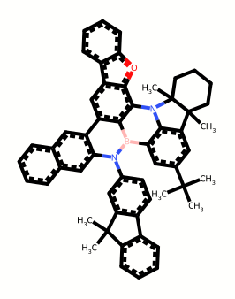 CC(C)(C)c1cc2c3c(c1)C1(C)CCCCC1(C)N3c1c3c(cc4c1oc1ccccc14)-c1cc4ccccc4cc1N(c1ccc4c(c1)C(C)(C)c1ccccc1-4)B23